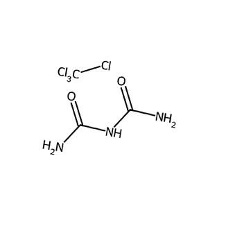 ClC(Cl)(Cl)Cl.NC(=O)NC(N)=O